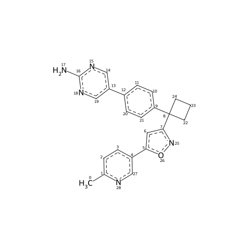 Cc1ccc(-c2cc(C3(c4ccc(-c5cnc(N)nc5)cc4)CCC3)no2)cn1